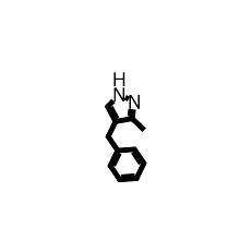 Cc1n[nH]cc1Cc1ccccc1